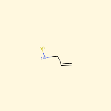 C=CCNS